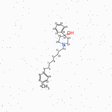 Cc1ccc(CCCCCCCCN2CCC(O)(c3ccccc3)CC2)cc1